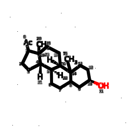 CC(=O)C1CC[C@H]2[C@@H]3CCC4C[C@H](O)CCC4(C)[C@H]3CCC12C